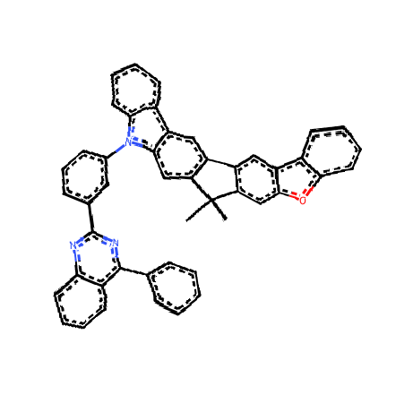 CC1(C)c2cc3oc4ccccc4c3cc2-c2cc3c4ccccc4n(-c4cccc(-c5nc(-c6ccccc6)c6ccccc6n5)c4)c3cc21